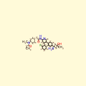 CCC(=O)N(C)[C@H]1CC[C@H](CC(=O)Nc2cc(-c3ccccc3F)c(-c3ccc([C@]4(N)C[C@](C)(O)C4)cc3)cn2)CC1